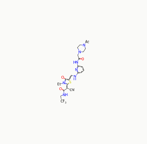 CCn1c(=C(C#N)C(=O)NCC(F)(F)F)sc(=CNc2cccc(NC(=O)CN3CCN(C(C)=O)CC3)n2)c1=O